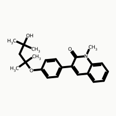 Cn1c(=O)c(-c2ccc(OC(C)(C)CC(C)(C)O)cc2)cc2ccccc21